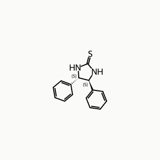 S=C1N[C@@H](c2ccccc2)[C@H](c2ccccc2)N1